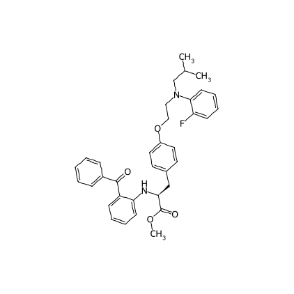 COC(=O)[C@H](Cc1ccc(OCCN(CC(C)C)c2ccccc2F)cc1)Nc1ccccc1C(=O)c1ccccc1